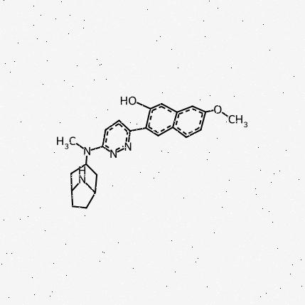 COc1ccc2cc(-c3ccc(N(C)C4CC5CCC(C4)N5)nn3)c(O)cc2c1